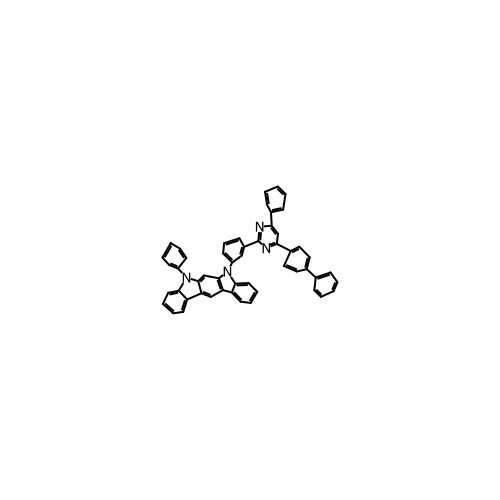 c1ccc(-c2ccc(-c3cc(-c4ccccc4)nc(-c4cccc(-n5c6ccccc6c6cc7c8ccccc8n(-c8ccccc8)c7cc65)c4)n3)cc2)cc1